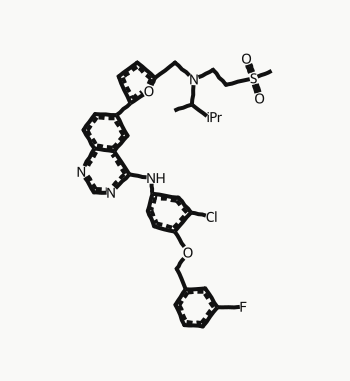 CC(C)C(C)N(CCS(C)(=O)=O)Cc1ccc(-c2ccc3ncnc(Nc4ccc(OCc5cccc(F)c5)c(Cl)c4)c3c2)o1